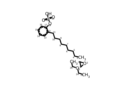 C1CO1.CCCCCCCCCc1ccccc1OS(=O)(=O)O.CCOCC